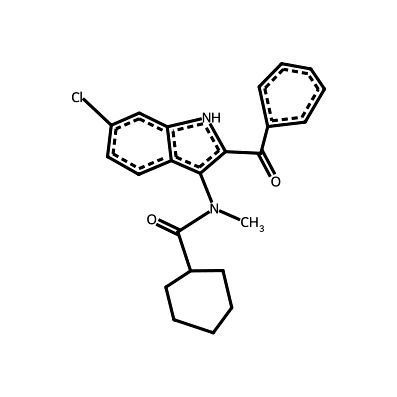 CN(C(=O)C1CCCCC1)c1c(C(=O)c2ccccc2)[nH]c2cc(Cl)ccc12